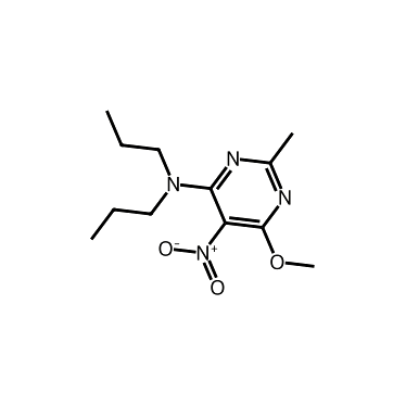 CCCN(CCC)c1nc(C)nc(OC)c1[N+](=O)[O-]